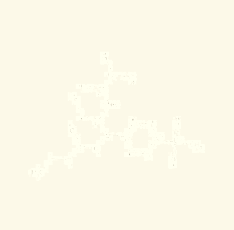 CCOC(=O)OC(c1ccc(S(C)(=O)=O)cc1)C(CF)NC(=O)C(Cl)Cl